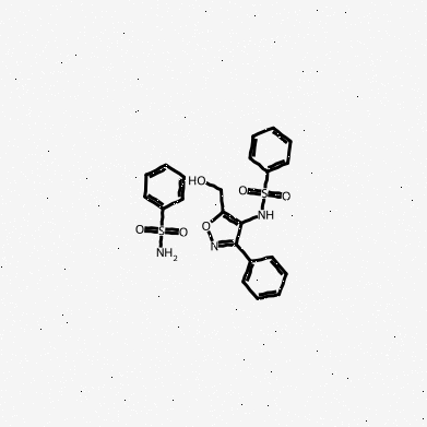 NS(=O)(=O)c1ccccc1.O=S(=O)(Nc1c(-c2ccccc2)noc1CO)c1ccccc1